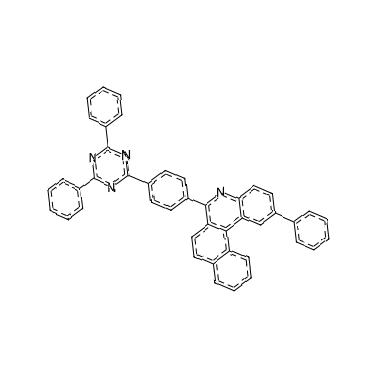 c1ccc(-c2ccc3nc(-c4ccc(-c5nc(-c6ccccc6)nc(-c6ccccc6)n5)cc4)c4ccc5ccccc5c4c3c2)cc1